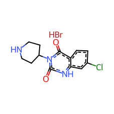 Br.O=c1[nH]c2cc(Cl)ccc2c(=O)n1C1CCNCC1